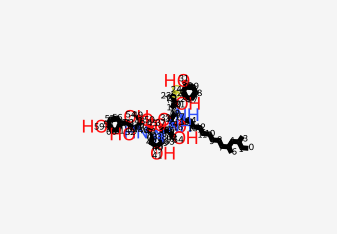 CCC(C)CC(C)CCCCCCCCC(=O)N[C@@H](C[C@@H](O)[C@H](C)Sc1ccccc1O)C(=O)N[C@H](C(=O)N1C[C@H](O)C[C@H]1C(=O)N[C@H](C(C)=O)[C@H](O)[C@@H](O)c1ccc(O)cc1)[C@@H](C)O